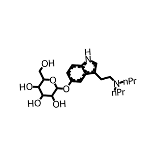 CCCN(CCC)CCc1c[nH]c2ccc(OC3OC(CO)C(O)C(O)C3O)cc12